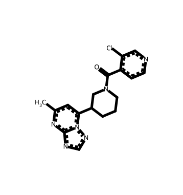 Cc1cc(C2CCCN(C(=O)c3ccncc3Cl)C2)n2ncnc2n1